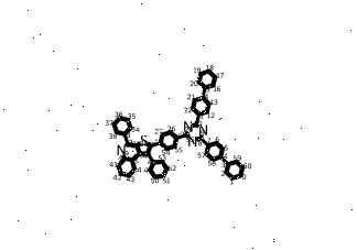 c1ccc(-c2ccc(-c3nc(-c4ccc(-c5ccccc5)cc4)nc(-c4ccc(-c5sc6c(-c7ccccc7)nc7ccccc7c6c5-c5ccccc5)cc4)n3)cc2)cc1